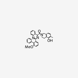 COc1cccc(-c2nc(C(=O)N3CCc4c(ccc(C)c4O)C3)c3ccccc3n2)c1-c1ccccc1